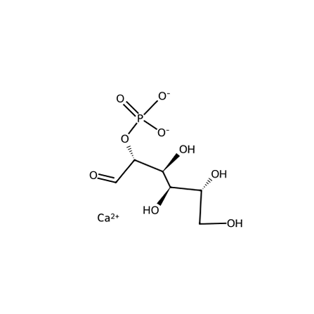 O=C[C@H](OP(=O)([O-])[O-])[C@@H](O)[C@H](O)[C@H](O)CO.[Ca+2]